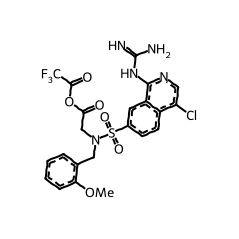 COc1ccccc1CN(CC(=O)OC(=O)C(F)(F)F)S(=O)(=O)c1ccc2c(Cl)cnc(NC(=N)N)c2c1